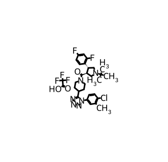 Cc1cc(-n2nnnc2C2CCN(C(=O)[C@@H]3CN(C(C)(C)C)C[C@H]3c3ccc(F)cc3F)CC2)ccc1Cl.O=C(O)C(F)(F)F